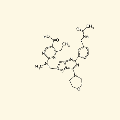 CCc1nc(N(C)Cc2cc3nc(-c4cccc(CNC(C)=O)c4)nc(N4CCOCC4)c3s2)ncc1C(=O)O